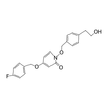 O=c1cc(OCc2ccc(F)cc2)ccn1OCc1ccc(CCO)cc1